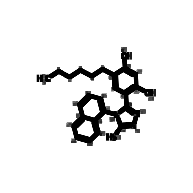 CCCCCCc1cc(-c2nnc(S)n2-c2cccc3ccccc23)c(O)cc1O